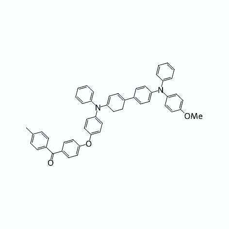 COc1ccc(N(c2ccccc2)c2ccc(C3=CC=C(N(c4ccccc4)c4ccc(Oc5ccc(C(=O)c6ccc(C)cc6)cc5)cc4)CC3)cc2)cc1